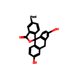 CCCC(C)c1ccc2c(c1)C(=O)OC21c2ccc(O)cc2Cc2cc(O)ccc21